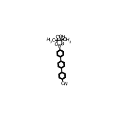 CC1(C)OB(c2ccc(-c3ccc(-c4ccc(C#N)cc4)cc3)cc2)OC1(C)C